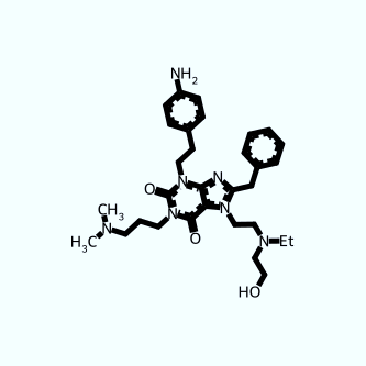 CCN(CCO)CCn1c(Cc2ccccc2)nc2c1c(=O)n(CCCN(C)C)c(=O)n2CCc1ccc(N)cc1